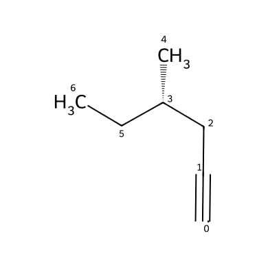 [C]#CC[C@@H](C)CC